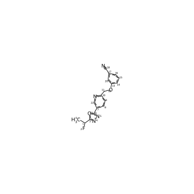 CC(F)c1nnc(-c2ccc(COc3cccc(C#N)c3)nc2)o1